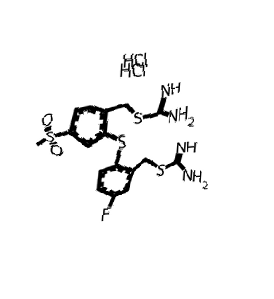 CS(=O)(=O)c1ccc(CSC(=N)N)c(Sc2ccc(F)cc2CSC(=N)N)c1.Cl.Cl